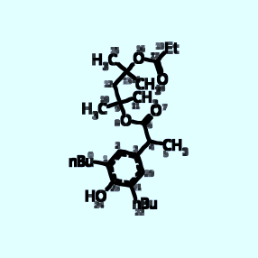 CCCCc1cc(C(C)C(=O)OC(C)(C)CC(C)(C)OC(=O)CC)cc(CCCC)c1O